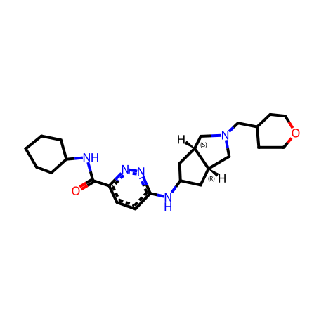 O=C(NC1CCCCC1)c1ccc(NC2C[C@@H]3CN(CC4CCOCC4)C[C@@H]3C2)nn1